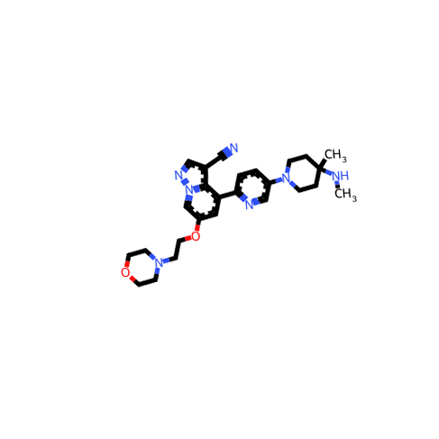 CNC1(C)CCN(c2ccc(-c3cc(OCCN4CCOCC4)cn4ncc(C#N)c34)nc2)CC1